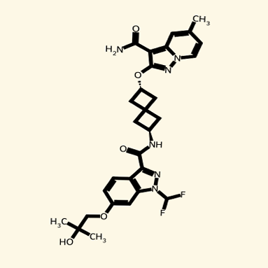 Cc1ccn2nc(O[C@H]3CC4(C[C@H](NC(=O)c5nn(C(F)F)c6cc(OCC(C)(C)O)ccc56)C4)C3)c(C(N)=O)c2c1